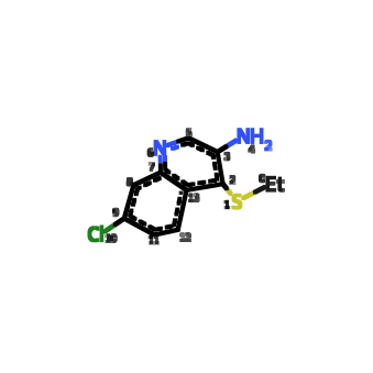 CCSc1c(N)cnc2cc(Cl)ccc12